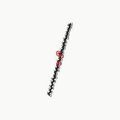 CCCCCCCCCCCCCCCCCCOCCCOC(=O)CCCCCCCCCCCCCCCCC